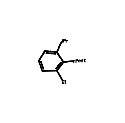 C[CH]CCCc1c(CC)cccc1C(C)C